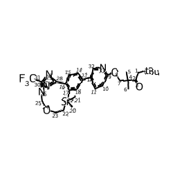 CC(C)(C)CC(=O)C(C)(C)COc1ccc(-c2ccc3c(c2)[Si](C)(C)CCOCn2nc-3nc2C(F)(F)F)cn1